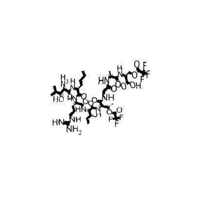 CCCC[C@H](NC(=O)[C@@H](N)[C@H](O)C(C)C)C(=O)N[C@H](CCCNC(=N)N)C(=O)N[C@H](C(=O)N[C@H](C(=O)NCC(=O)N[C@@H](C)C(=O)N[C@@H](COC(=O)C(F)(F)F)C(=O)O)[C@H](C)OC(=O)C(F)(F)F)[C@@H](C)CC